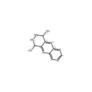 OC1NNC(O)c2nc3ccccc3nc21